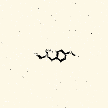 COc1ccc(CN(N)[C]=O)cc1